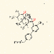 CCCC(C)Cc1ccc(-c2ccc(C)c3c2C[C@]2(C)C[C@]4(C)CC(C)=C(C(C)=O)C(=O)[C@]4(C)C(C)=C2C3=O)cc1